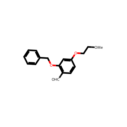 COCCOc1ccc(C=O)c(OCc2ccccc2)c1